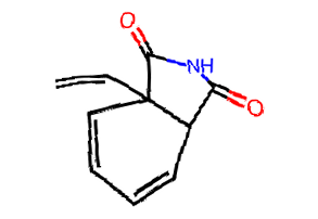 C=CC12C=CC=CC1C(=O)NC2=O